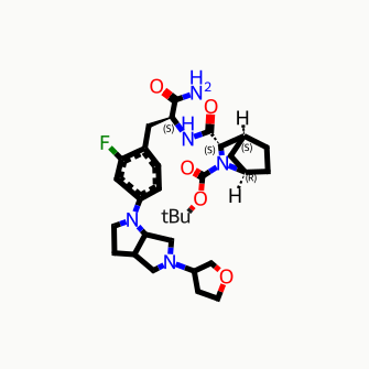 CC(C)(C)OC(=O)N1[C@@H]2CC[C@@H](C2)[C@H]1C(=O)N[C@@H](Cc1ccc(N2CCC3CN(C4CCOC4)CC32)cc1F)C(N)=O